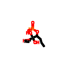 CCCC(O[PH](=O)[O-])[Si](O)(O)O.[Na+]